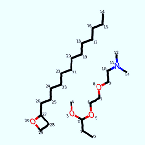 CCC(OC)OCCOCCN(C)C.CCCCCCCCCCCCCC1CCO1